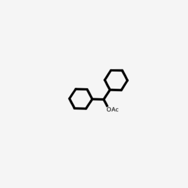 CC(=O)OC(C1CCCCC1)C1CCCCC1